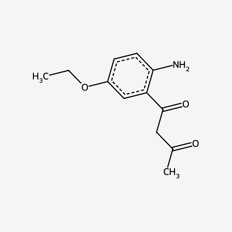 CCOc1ccc(N)c(C(=O)CC(C)=O)c1